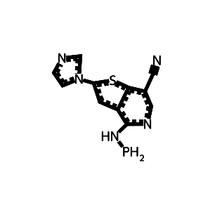 N#Cc1cnc(NP)c2cc(-n3ccnc3)sc12